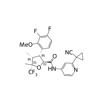 COc1c([C@@H]2[C@@H](C(=O)Nc3ccnc(C4(C#N)CC4)c3)O[C@](C)(C(F)(F)F)[C@@H]2C)ccc(F)c1F